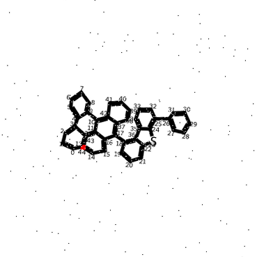 c1ccc(-c2ccccc2-c2c3ccccc3c(-c3cccc4sc5c(-c6ccccc6)cccc5c34)c3ccccc23)cc1